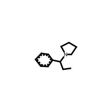 CCC(c1c[c]ccc1)N1CCCC1